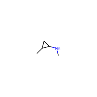 CNC1CC1C